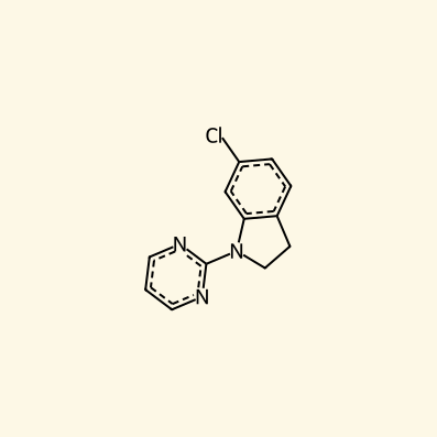 Clc1ccc2c(c1)N(c1ncccn1)CC2